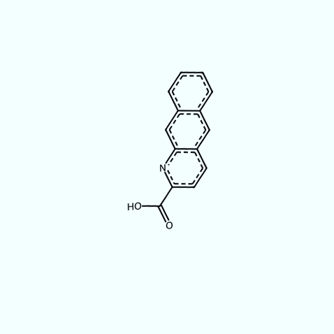 O=C(O)c1ccc2cc3ccccc3cc2n1